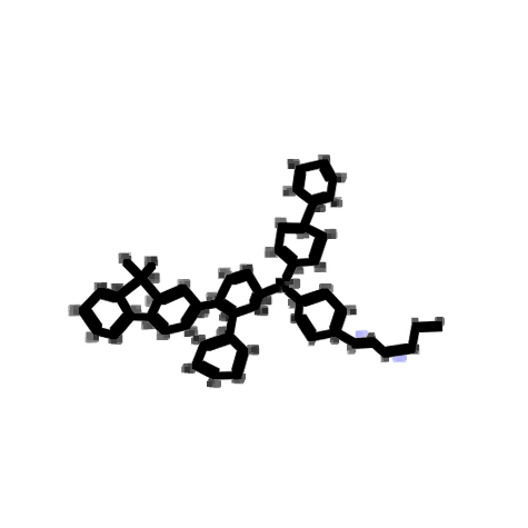 C=C/C=C\C=C\c1ccc(N(c2ccc(-c3ccccc3)cc2)c2ccc(-c3ccc4c(c3)C(C)(C)c3ccccc3-4)c(-c3ccccc3)c2)cc1